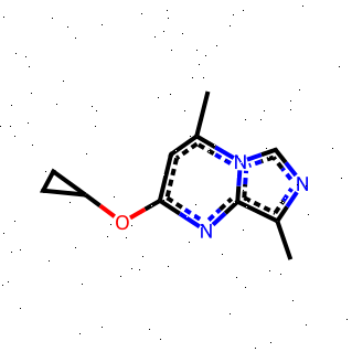 Cc1ncn2c(C)cc(OC3CC3)nc12